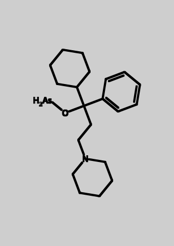 [AsH2]OC(CCN1CCCCC1)(c1ccccc1)C1CCCCC1